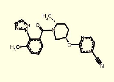 Cc1cccc(C(=O)N2C[C@H](Oc3cc(C#N)ccn3)CC[C@H]2C)c1-n1nccn1